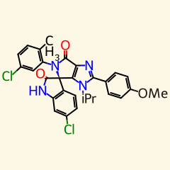 COc1ccc(-c2nc3c(n2C(C)C)[C@]2(C(=O)Nc4cc(Cl)ccc42)N(c2cc(Cl)ccc2C)C3=O)cc1